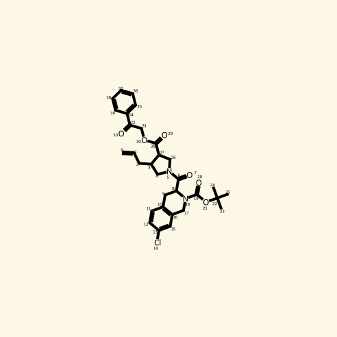 C=CCC1CN(C(=O)C2Cc3ccc(Cl)cc3CN2C(=O)OC(C)(C)C)CC1C(=O)OCC(=O)c1ccccc1